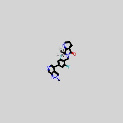 BC1(B)c2ncccc2C(=O)N1Cc1c(F)cc(-c2cncc3nn(C)cc23)cc1F